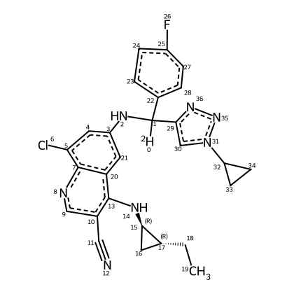 [2H]C(Nc1cc(Cl)c2ncc(C#N)c(N[C@@H]3C[C@H]3CC)c2c1)(c1ccc(F)cc1)c1cn(C2CC2)nn1